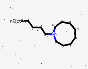 CCCCCCCCCCCCN1CCCCCCCC1